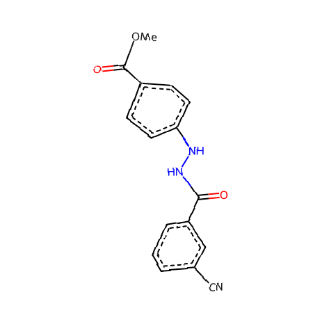 COC(=O)c1ccc(NNC(=O)c2cccc(C#N)c2)cc1